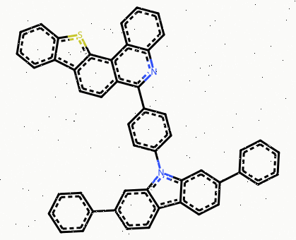 c1ccc(-c2ccc3c4ccc(-c5ccccc5)cc4n(-c4ccc(-c5nc6ccccc6c6c5ccc5c7ccccc7sc56)cc4)c3c2)cc1